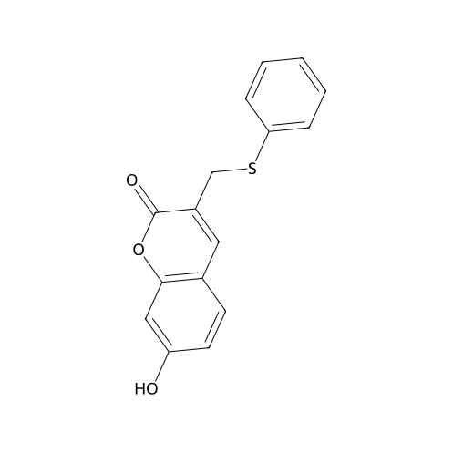 O=c1oc2cc(O)ccc2cc1CSc1ccccc1